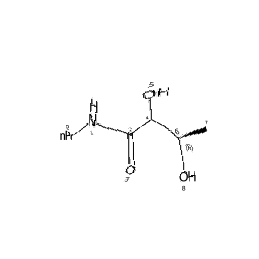 CCCNC(=O)C(O)[C@@H](C)O